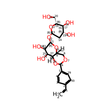 C=Cc1ccc(C2OC[C@H]3O[C@H](O[C@@H]4C[C@@H](O)[C@H](O)[C@@H](CO)O4)[C@H](O)C(O)[C@@H]3O2)cc1